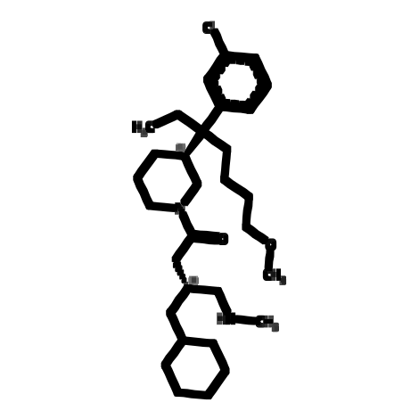 CCC(CCCCOC)(c1cccc(Cl)c1)[C@@H]1CCCN(C(=O)C[C@H](CNC)CC2CCCCC2)C1